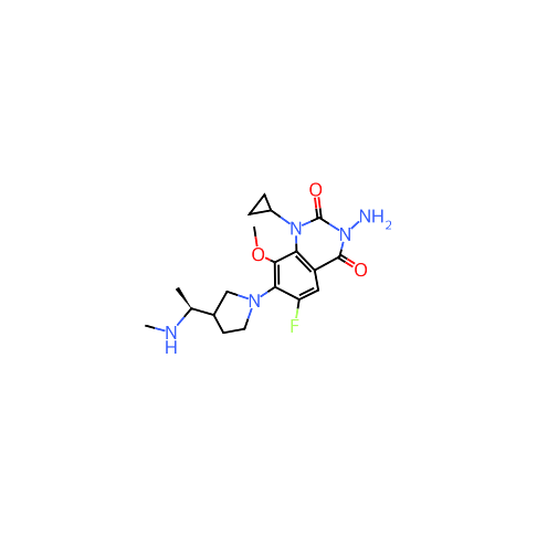 CN[C@@H](C)C1CCN(c2c(F)cc3c(=O)n(N)c(=O)n(C4CC4)c3c2OC)C1